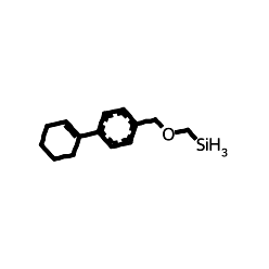 [SiH3]COCc1ccc(C2=CCCCC2)cc1